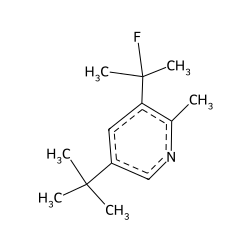 Cc1ncc(C(C)(C)C)cc1C(C)(C)F